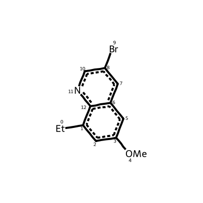 CCc1cc(OC)cc2cc(Br)cnc12